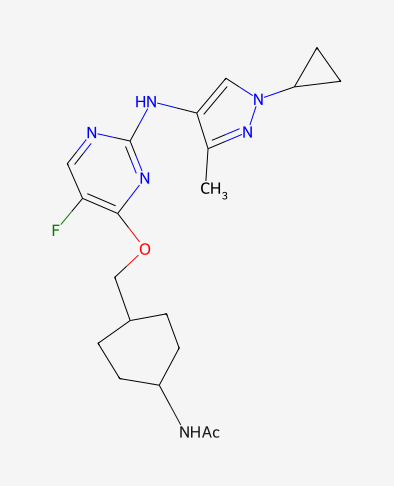 CC(=O)NC1CCC(COc2nc(Nc3cn(C4CC4)nc3C)ncc2F)CC1